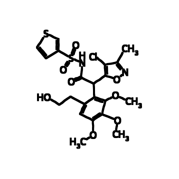 COc1cc(CCO)c(C(C(=O)NS(=O)(=O)c2ccsc2)c2onc(C)c2Cl)c(OC)c1OC